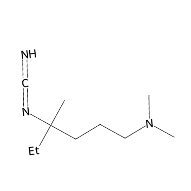 CCC(C)(CCCN(C)C)N=C=N